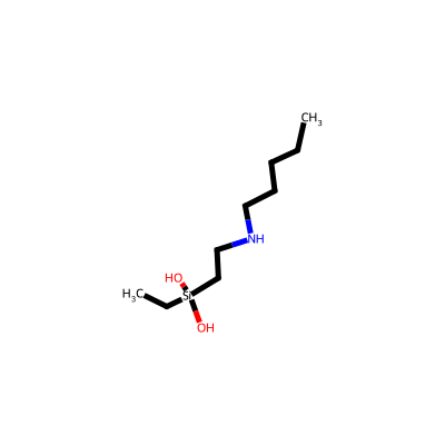 CCCCCNCC[Si](O)(O)CC